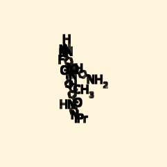 Cc1cc(C(=O)NC2CCN(C(C)C)CC2)ccc1-c1ccc(C[C@H](NC(=O)C2CCC(CN)CC2)C(=O)Nc2ccc(-c3nn[nH]n3)c(F)c2)cc1